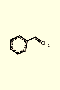 C=Cc1bcccc1